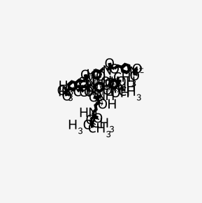 CN[C@@H]1[C@@H](O)[C@@H](O[C@@H]2[C@@H](O)[C@H](C3OC(CNC(=O)OCc4ccc([N+](=O)[O-])cc4)=CC[C@H]3NC(=O)OCc3ccc([N+](=O)[O-])cc3)[C@@H](NC(=O)OC(C)(C)C)C[C@H]2NC(=O)[C@@H](O)CCNC(=O)OC(C)(C)C)OC[C@]1(C)O